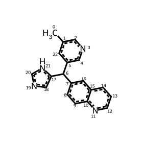 Cc1cncc(C(c2ccc3ncccc3c2)c2cnc[nH]2)c1